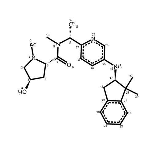 CC(=O)N1C[C@H](O)C[C@H]1C(=O)N(C)[C@@H](c1ccc(N[C@@H]2Cc3ccccc3C2(C)C)cn1)C(F)(F)F